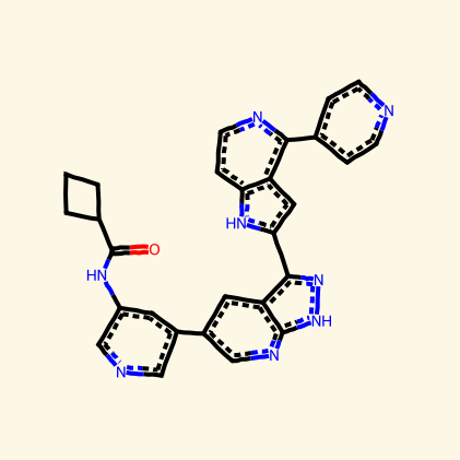 O=C(Nc1cncc(-c2cnc3[nH]nc(-c4cc5c(-c6ccncc6)nccc5[nH]4)c3c2)c1)C1CCC1